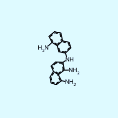 Nc1cccc2ccc(Nc3ccc4cccc(N)c4c3N)cc12